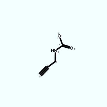 C#CCNC([O])=O